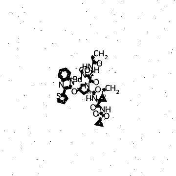 C=CC(=O)NC[C@@H](C(=O)N1C[C@H](Oc2nc3ccccc3nc2-c2cccs2)C[C@H]1C(=O)N[C@]1(C(=O)NS(=O)(=O)C2CC2)C[C@H]1C=C)N(C(=O)O)C(C)(C)C